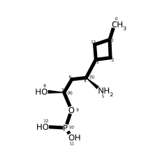 CC1CC([C@@H](N)C[C@H](O)OP(O)O)C1